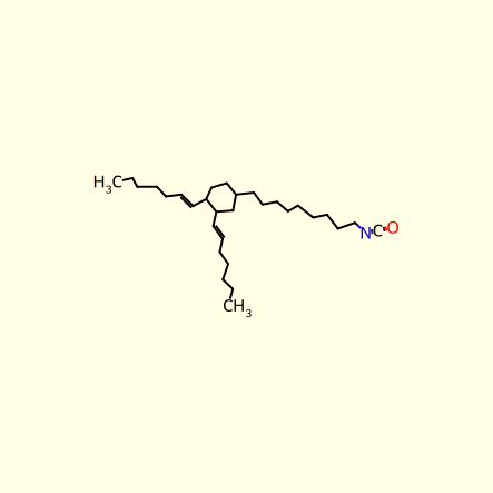 CCCCCC=CC1CCC(CCCCCCCCCN=C=O)CC1C=CCCCCC